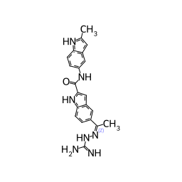 C/C(=N/NC(=N)N)c1ccc2[nH]c(C(=O)Nc3ccc4[nH]c(C)cc4c3)cc2c1